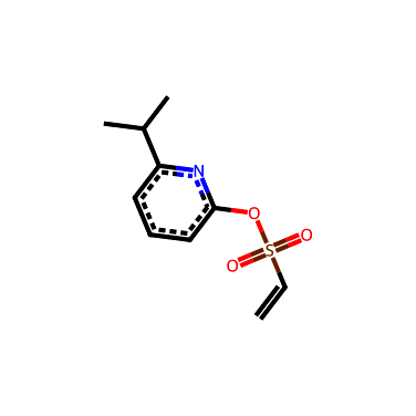 C=CS(=O)(=O)Oc1cccc(C(C)C)n1